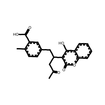 CC(=O)CC(Cc1ccc(C)c(C(=O)O)c1)c1c(O)c2ccccc2oc1=O